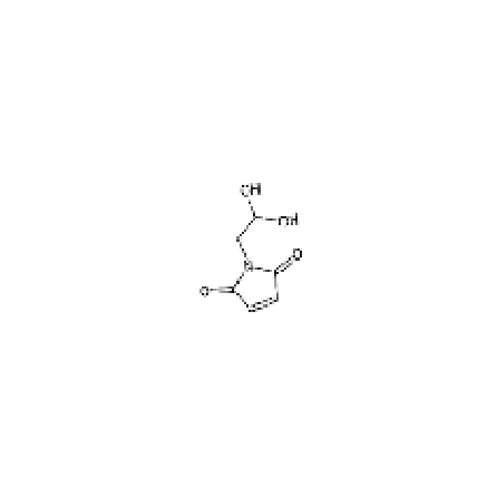 O=C1C=CC(=O)N1CC(O)O